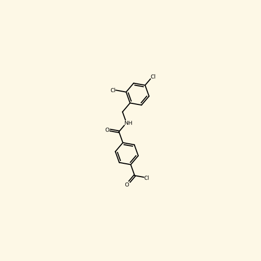 O=C(Cl)c1ccc(C(=O)NCc2ccc(Cl)cc2Cl)cc1